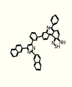 N=C1C=Cc2c(-c3ccccc3)nc3cc(-c4cccc(-c5cc(-c6ccc7ccccc7c6)nc(-c6ccc7ccccc7c6)n5)c4)ccc3c2/C1=N/S